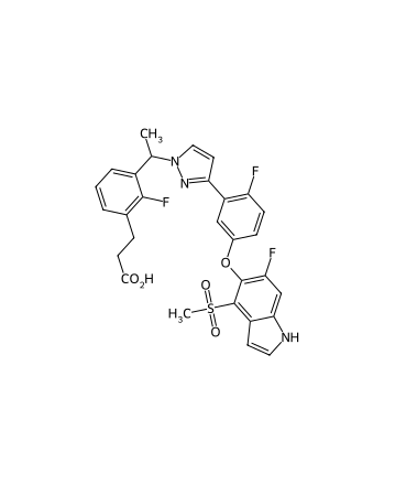 CC(c1cccc(CCC(=O)O)c1F)n1ccc(-c2cc(Oc3c(F)cc4[nH]ccc4c3S(C)(=O)=O)ccc2F)n1